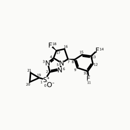 [O-][S+](c1nc2n(n1)[C@H](c1cc(F)cc(F)c1)C[C@@H]2F)C1CC1